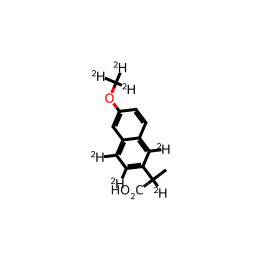 [2H]c1c(C([2H])(C)C(=O)O)c([2H])c2ccc(OC([2H])([2H])[2H])cc2c1[2H]